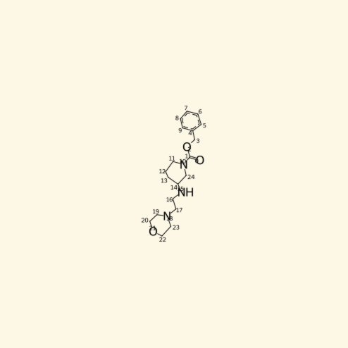 O=C(OCc1ccccc1)N1CCCC(NCCN2CCOCC2)C1